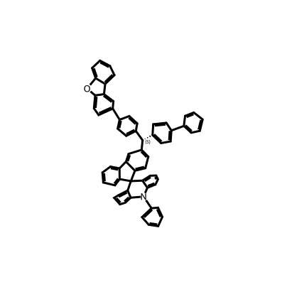 c1ccc(-c2ccc([C@@H](c3ccc(-c4ccc5oc6ccccc6c5c4)cc3)c3ccc4c(c3)-c3ccccc3C43c4ccccc4N(c4ccccc4)c4ccccc43)cc2)cc1